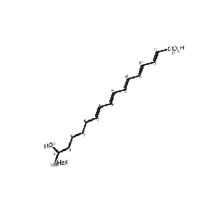 CCCCCCC(O)CCCCC=CC=CC=CC=CC=CC(=O)O